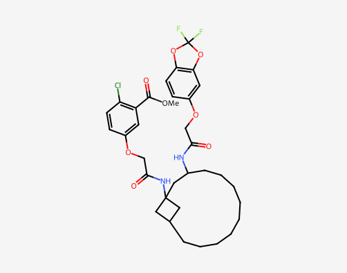 COC(=O)c1cc(OCC(=O)NC23CC(CCCCCCCCCC(NC(=O)COc4ccc5c(c4)OC(F)(F)O5)C2)C3)ccc1Cl